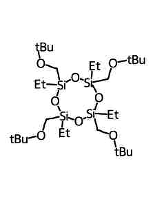 CC[Si]1(COC(C)(C)C)O[Si](CC)(COC(C)(C)C)O[Si](CC)(COC(C)(C)C)O[Si](CC)(COC(C)(C)C)O1